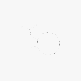 O=C(O)CC1CCCCCCCCC1=O